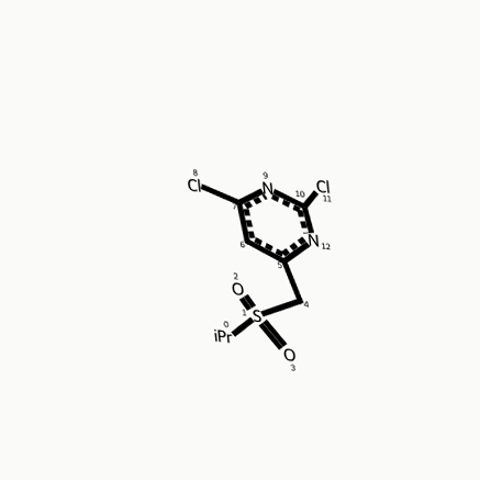 CC(C)S(=O)(=O)Cc1cc(Cl)nc(Cl)n1